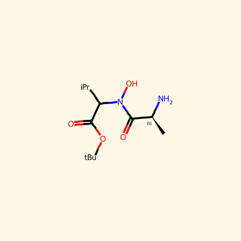 CC(C)C(C(=O)OC(C)(C)C)N(O)C(=O)[C@H](C)N